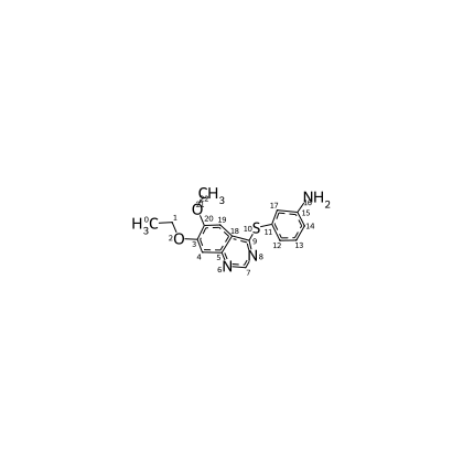 CCOc1cc2ncnc(Sc3cccc(N)c3)c2cc1OC